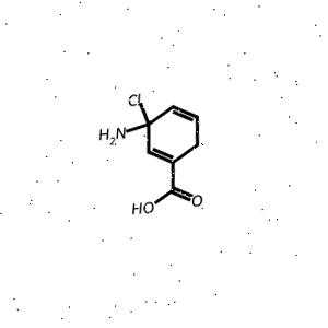 NC1(Cl)C=CCC(C(=O)O)=C1